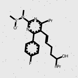 CCCC(O)CC/C=C/c1c(-c2ccc(F)cc2)nc(N(C)[S+](C)[O-])nc1C(C)C